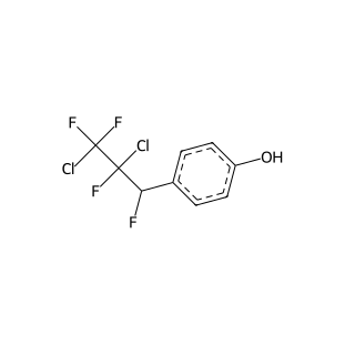 Oc1ccc(C(F)C(F)(Cl)C(F)(F)Cl)cc1